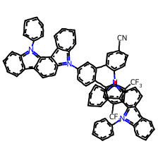 N#Cc1ccc(-n2c3ccccc3c3c2ccc2c4ccccc4n(-c4ccccc4)c23)c(-c2cc(-n3c4ccccc4c4c3ccc3c5ccccc5n(-c5ccccc5)c34)ccc2-c2cc(C(F)(F)F)cc(C(F)(F)F)c2)c1